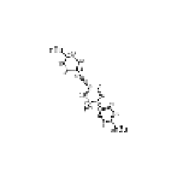 CCCCc1ccc(-c2ccc(C#CC3CCC(CCCC)CC3)cc2F)cc1